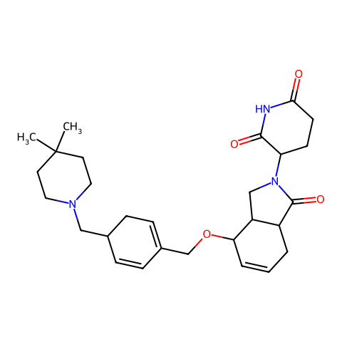 CC1(C)CCN(CC2C=CC(COC3C=CCC4C(=O)N(C5CCC(=O)NC5=O)CC34)=CC2)CC1